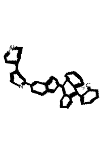 CC1CC=CC=C1c1c2ccccc2c(-c2ccc3cc(-c4cc(-c5ccncc5)ccn4)ccc3c2)c2ccccc12